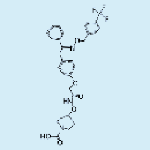 O=C(COc1ccc(CC(=NOCc2ccc(C(F)(F)F)cc2)c2ccccc2)cc1)NOC1CCN(C(=O)O)CC1